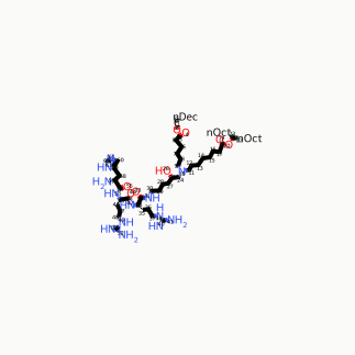 CCCCCCCCCCCOC(=O)CCCCCN(CCCCCCCC(=O)OC(CCCCCCCC)CCCCCCCC)CC(O)CCCCNC(=O)[C@H](CCCNC(=N)N)NC(=O)[C@H](CCCNC(=N)N)NC(=O)[C@H](N)Cc1cnc[nH]1